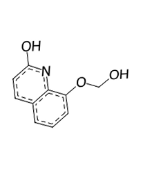 OCOc1cccc2ccc(O)nc12